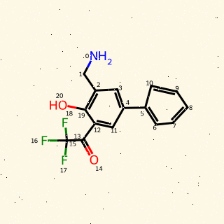 NCc1cc(-c2ccccc2)cc(C(=O)C(F)(F)F)c1O